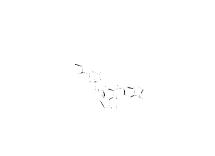 C=CC(=O)N1CCC[C@@H](Nc2nc(Nc3ccc4ncsc4c3)nc3[nH]ccc23)C1